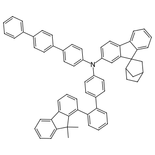 CC1(C)c2ccccc2-c2cccc(-c3ccccc3-c3ccc(N(c4ccc(-c5ccc(-c6ccccc6)cc5)cc4)c4ccc5c(c4)C4(CC6CCC4C6)c4ccccc4-5)cc3)c21